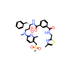 Cc1csc(CNC(=O)c2cccc(C(=O)N[C@@H](Cc3ccccc3)[C@H](O)CN(C)c3ccc(CS(C)(=O)=O)c(C)n3)c2)n1